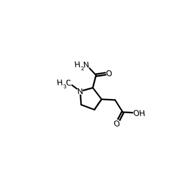 CN1CCC(CC(=O)O)C1C(N)=O